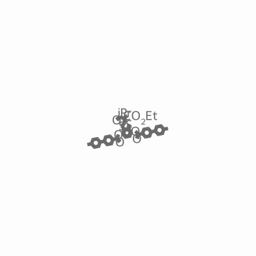 CCOC(=O)C(C(=O)C(C)C)=C1Sc2c(OC(=O)C3CCC(C4CCC(C)CC4)CC3)ccc(OC(=O)C3CCC(C4CCC(C)CC4)CC3)c2S1